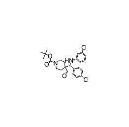 CC(C)(C)OC(=O)N1CCC(C=O)(C(Nc2cccc(Cl)c2)c2ccc(Cl)cc2)CC1